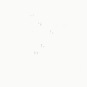 CC(C)N1C=C2N(C(=O)CCN2S(=O)(=O)c2ccccc2)C(Cc2ccc(Cl)cc2)C1=O